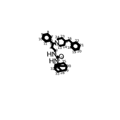 O=C(NCCC(c1ccccc1)N1CCC(Cc2ccccc2)CC1)NC12CC3CC(CC(C3)C1)C2